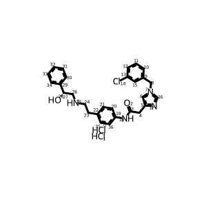 Cl.Cl.O=C(Cc1cn(Cc2cccc(Cl)c2)cn1)Nc1ccc(CCNC[C@H](O)c2ccccc2)cc1